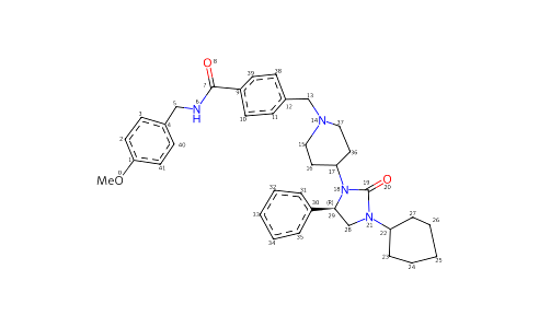 COc1ccc(CNC(=O)c2ccc(CN3CCC(N4C(=O)N(C5CCCCC5)C[C@H]4c4ccccc4)CC3)cc2)cc1